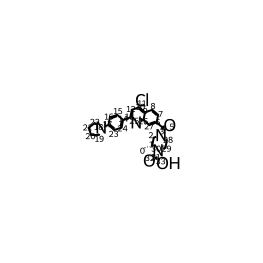 C[C@@H]1CN(C(=O)c2ccc3c(Cl)cc(-c4ccc(N5CCCC5)cc4)nc3c2)CCN1C(=O)O